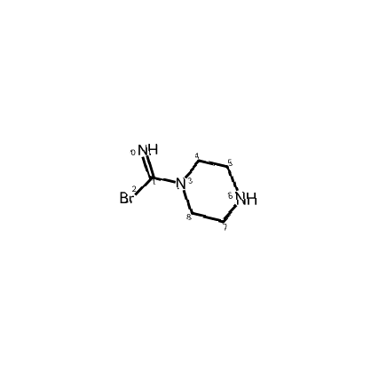 N=C(Br)N1CCNCC1